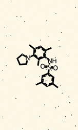 Cc1cc(C)cc(S(=O)(=O)Nc2c(C)cc(C)c(N3CCCC3)c2C)c1